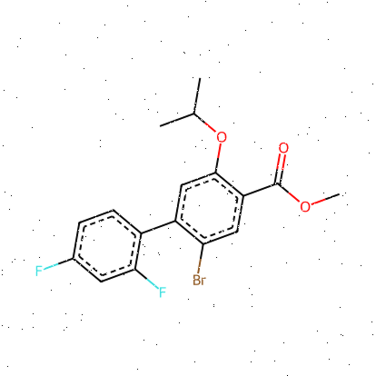 COC(=O)c1cc(Br)c(-c2ccc(F)cc2F)cc1OC(C)C